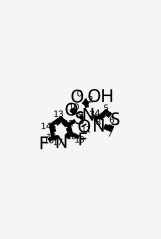 O=C(O)N(c1cscn1)S(=O)(=O)c1ccc(F)nc1F